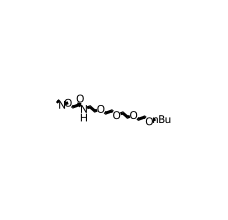 C=NOCC(=O)NCCOCCOCCOCCOCCCC